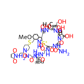 CC[C@H](C)[C@H](NC(=O)CN)C(=O)NCC(=O)N[C@H]1C[S+]([O-])c2[nH]c3c(CSC4CCN(C(=O)CCN5C(=O)C=CC5=O)CC4)c(OC)ccc3c2C[C@@H](CO)NC(=O)[C@H]([C@@H](C)[C@@H](O)CO)NC(=O)[C@@H]2C[C@@H](O)CN2C(=O)[C@H](CC(N)=O)NC1=O